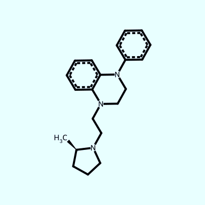 C[C@@H]1CCCN1CCN1CCN(c2ccccc2)c2ccccc21